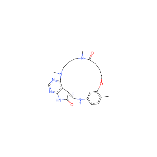 Cc1ccc2cc1OCCCC(=O)N(C)CCCN(C)c1ncnc3c1/C(=C/N2)C(=O)N3